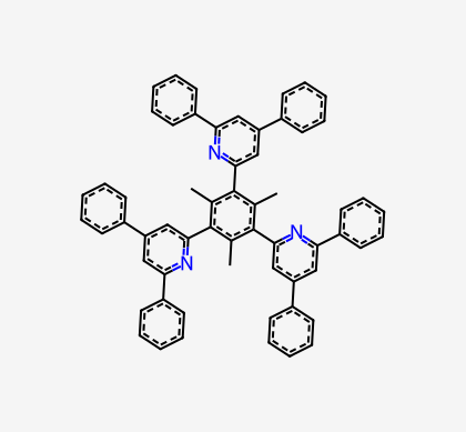 Cc1c(-c2cc(-c3ccccc3)cc(-c3ccccc3)n2)c(C)c(-c2cc(-c3ccccc3)cc(-c3ccccc3)n2)c(C)c1-c1cc(-c2ccccc2)cc(-c2ccccc2)n1